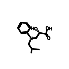 CC(C)CN(C[C@@H](O)C(=O)O)c1ccccc1